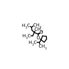 CCC(C)(CC(C)C)C(=O)OC1(C(C)C)CCCC1